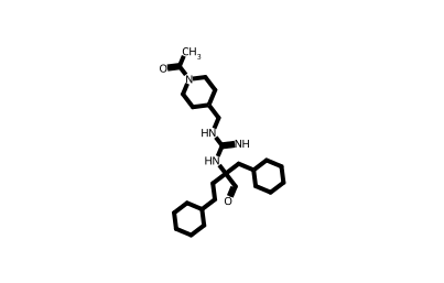 CC(=O)N1CCC(CNC(=N)NC(C=O)(CCC2CCCCC2)CC2CCCCC2)CC1